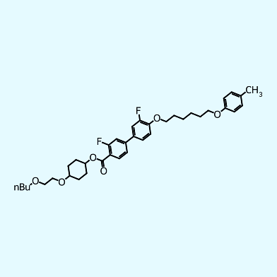 CCCCOCCOC1CCC(OC(=O)c2ccc(-c3ccc(OCCCCCCOc4ccc(C)cc4)c(F)c3)cc2F)CC1